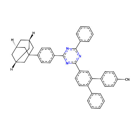 N#Cc1ccc(-c2cc(-c3nc(-c4ccccc4)nc(-c4ccc(C56C[C@H]7C[C@@H](C5)C[C@@H](C6)C7)cc4)n3)ccc2-c2ccccc2)cc1